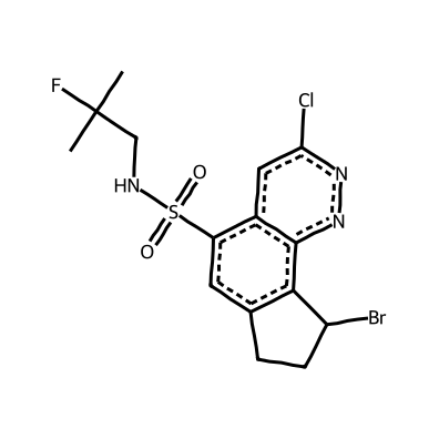 CC(C)(F)CNS(=O)(=O)c1cc2c(c3nnc(Cl)cc13)C(Br)CC2